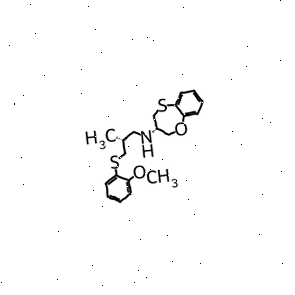 COc1ccccc1SC[C@H](C)CN[C@H]1COc2ccccc2SC1